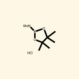 CNB1OC(C)(C)C(C)(C)O1.Cl